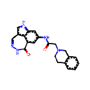 O=C(CN1CCc2ccccc2C1)Nc1cc2c3c(c[nH]c3c1)C=NNC2=O